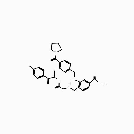 COC(=O)c1ccc(CNCC(=O)OC(C)C(=O)c2ccc(Cl)cc2)c(NCc2ccc(C(=O)N3CCCC3)cc2)c1